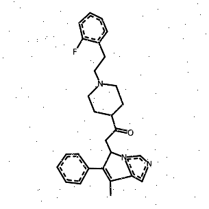 CC1=C(c2ccccc2)C(CC(=O)C2CCN(CCc3ccccc3F)CC2)n2cncc21